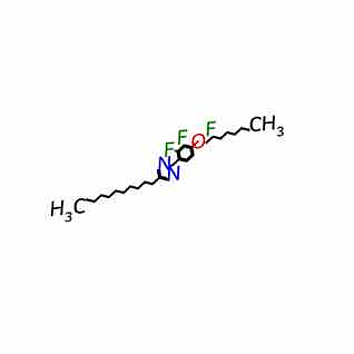 CCCCCCCCCCCc1cnc(-c2ccc(OCC(F)CCCCCC)c(F)c2F)nc1